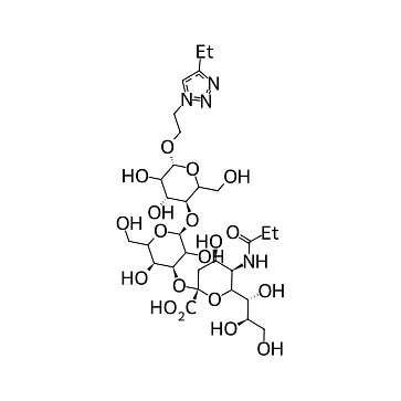 CCC(=O)N[C@H]1C([C@H](O)[C@H](O)CO)O[C@@](O[C@@H]2C(O)[C@H](O[C@@H]3C(CO)O[C@@H](OCCn4cc(CC)nn4)C(O)[C@H]3O)OC(CO)[C@@H]2O)(C(=O)O)C[C@H]1O